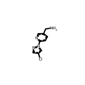 NCc1ccc(-n2cc(Cl)cn2)nc1